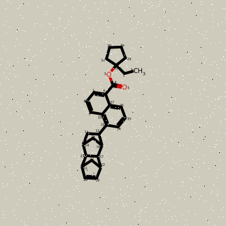 CCC1(OC(=O)c2cccc3c(C4CC5CC4C4C6C=CC(C6)C54)cccc23)CCCC1